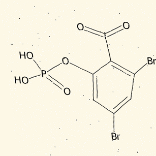 O=I(=O)c1c(Br)cc(Br)cc1OP(=O)(O)O